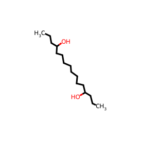 CCCC(O)CCCCCCCCC(O)CCC